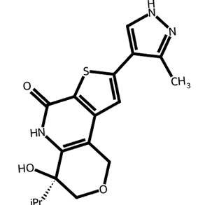 Cc1n[nH]cc1-c1cc2c3c([nH]c(=O)c2s1)[C@@](O)(C(C)C)COC3